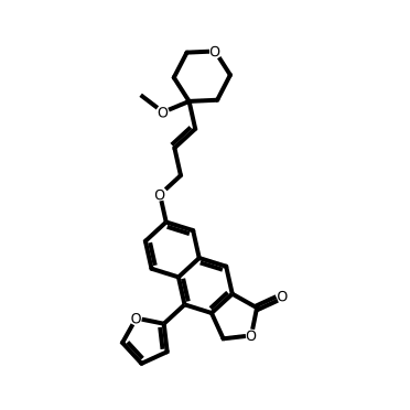 COC1(C=CCOc2ccc3c(-c4ccco4)c4c(cc3c2)C(=O)OC4)CCOCC1